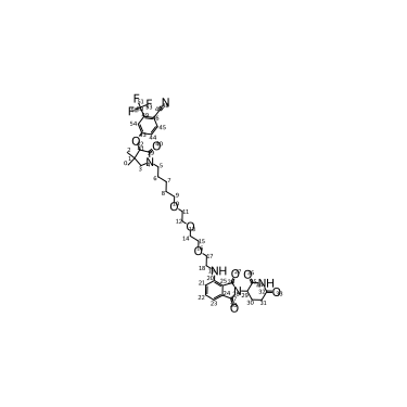 CC1(C)CN(CCCCCOCCOCCOCCNc2cccc3c2C(=O)N(C2CCC(=O)NC2=O)C3=O)C(=O)C1Oc1ccc(C#N)c(C(F)(F)F)c1